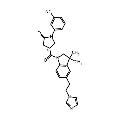 CC1(C)CN(C(=O)[C@H]2CC(=O)N(c3cccc(C#N)c3)C2)c2ccc(CCn3ccnc3)cc21